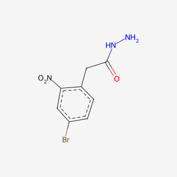 NNC(=O)Cc1ccc(Br)cc1[N+](=O)[O-]